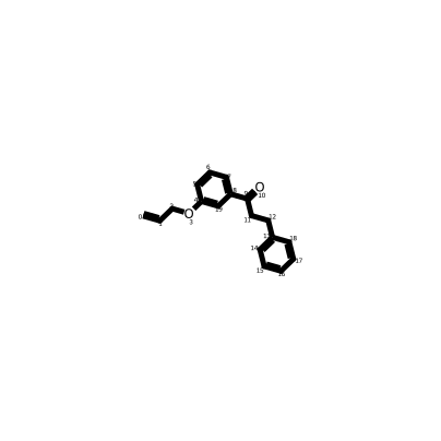 C=CCOc1cccc(C(=O)CCc2ccccc2)c1